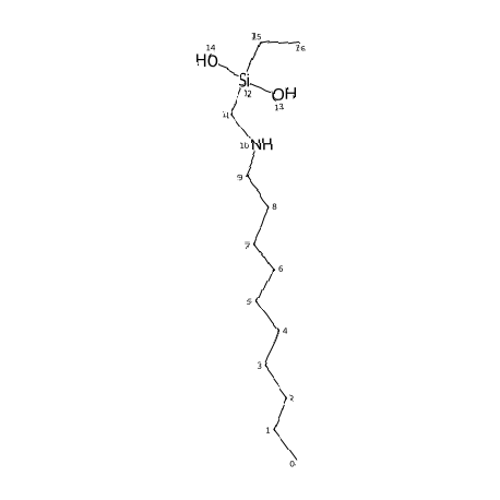 CCCCCCCCCCNC[Si](O)(O)CC